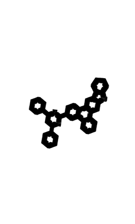 c1ccc(-c2cc(-c3ccccc3)nc(-c3ccc4c(c3)c3ccccc3c3cc5oc6ccccc6c5cc43)n2)cc1